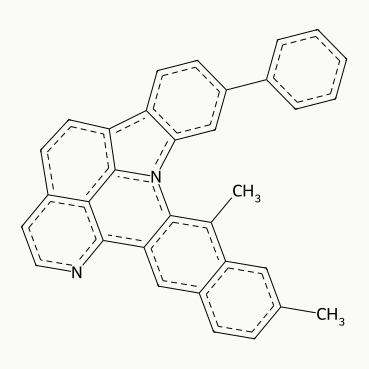 Cc1ccc2cc3c4nccc5ccc6c7ccc(-c8ccccc8)cc7n(c3c(C)c2c1)c6c54